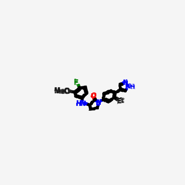 CCc1cc(N2CCC(Nc3ccc(F)c(OC)c3)C2=O)ccc1-c1cn[nH]c1